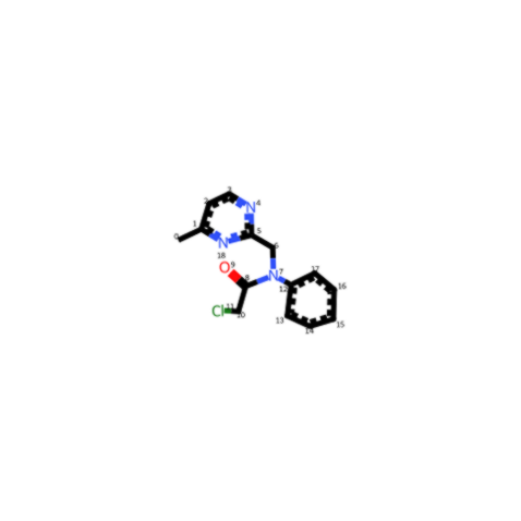 Cc1ccnc(CN(C(=O)CCl)c2ccccc2)n1